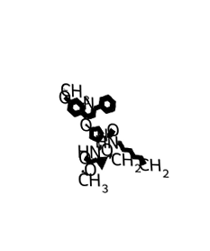 C=CCCCCNC(=O)N1C[C@H](Oc2cc(-c3ccccc3)nc3cc(OC)ccc23)C[C@H]1C(=O)N[C@]1(C(=O)OCC)C[C@H]1C=C